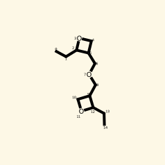 CCC1OCC1COCC1COC1CC